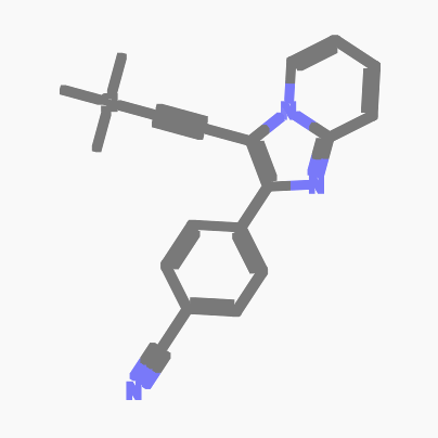 C[Si](C)(C)C#Cc1c(-c2ccc(C#N)cc2)nc2ccccn12